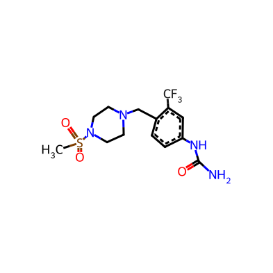 CS(=O)(=O)N1CCN(Cc2ccc(NC(N)=O)cc2C(F)(F)F)CC1